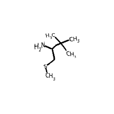 CSCC(N)C(C)(C)C